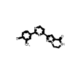 O=C1NCCn2nc(-c3ccnc(-c4ccc(Cl)c(C(F)(F)F)c4)n3)cc21